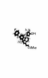 COCCCC[C@@](O)(c1cccc(Oc2ccc(F)cc2)c1)[C@@H]1CCCN([C@@]2(C=O)C[C@@H](N)[C@@H](O)C2)C1